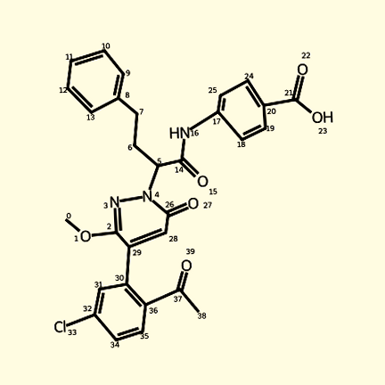 COc1nn(C(CCc2ccccc2)C(=O)Nc2ccc(C(=O)O)cc2)c(=O)cc1-c1cc(Cl)ccc1C(C)=O